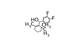 CC1=C(C(O)c2ccc(F)c(F)c2)C(C)(C)CCC1